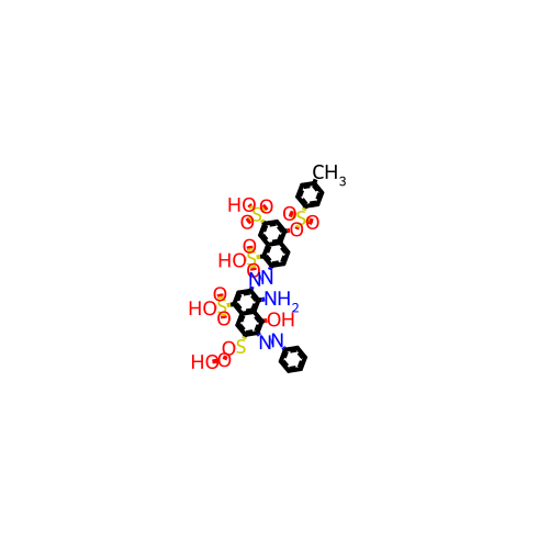 Cc1ccc(S(=O)(=O)Oc2cc(S(=O)(=O)O)cc3c(S(=O)(=O)O)c(N=Nc4cc(S(=O)(=O)O)c5cc(SOOO)c(N=Nc6ccccc6)c(O)c5c4N)ccc23)cc1